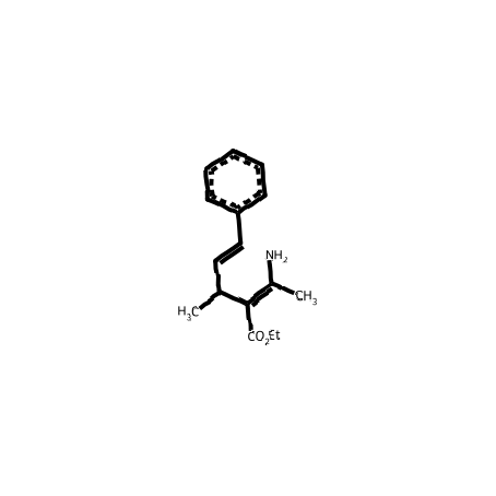 CCOC(=O)C(=C(C)N)C(C)C=Cc1ccccc1